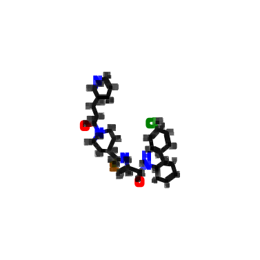 O=C(Nc1ccccc1-c1ccc(Cl)cc1)c1csc(C2CCN(C(=O)CCc3cccnc3)CC2)n1